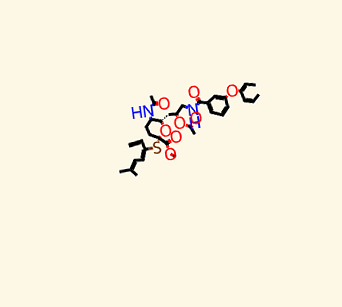 C=C/C(=C\C=C(C)C)S[C@@]1(C(=O)OC)CCC(NC(C)=O)[C@H](CC(CNC(=O)c2cccc(OC(/C=C\C)=C/C)c2)OC(C)=O)O1